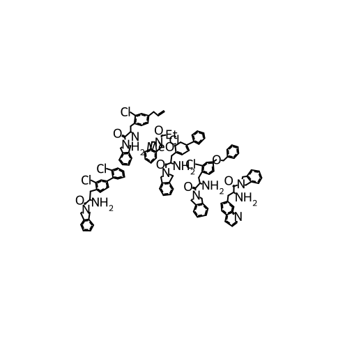 C=CCc1ccc(CC(N)C(=O)N2Cc3ccccc3C2)c(Cl)c1.CCC(=O)N1Cc2ccccc2C1.COC1(Cl)CC(c2ccccc2)=CC=C1CC(N)C(=O)N1Cc2ccccc2C1.NC(Cc1ccc(-c2ccccc2Cl)cc1Cl)C(=O)N1Cc2ccccc2C1.NC(Cc1ccc(OCc2ccccc2)cc1Cl)C(=O)N1Cc2ccccc2C1.NC(Cc1ccc2cccnc2c1)C(=O)N1Cc2ccccc2C1